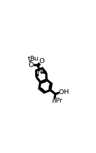 CCCC(O)c1ccc2c(c1)C1CCC2N1C(=O)OC(C)(C)C